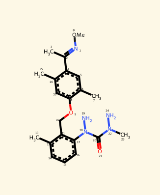 CO/N=C(\C)c1cc(C)c(OCc2c(C)cccc2N(N)C(=O)N(C)N)cc1C